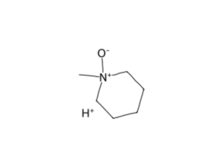 C[N+]1([O-])CCCCC1.[H+]